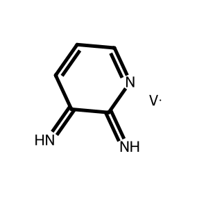 N=C1C=CC=NC1=N.[V]